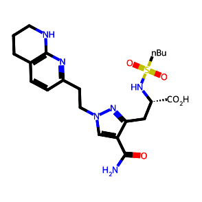 CCCCS(=O)(=O)N[C@@H](Cc1nn(CCc2ccc3c(n2)NCCC3)cc1C(N)=O)C(=O)O